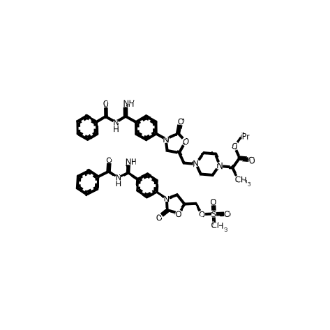 CC(C)OC(=O)C(C)N1CCN(CC2CN(c3ccc(C(=N)NC(=O)c4ccccc4)cc3)C(=O)O2)CC1.CS(=O)(=O)OCC1CN(c2ccc(C(=N)NC(=O)c3ccccc3)cc2)C(=O)O1